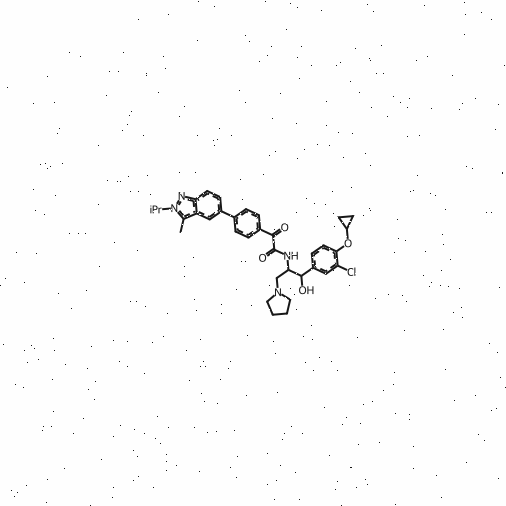 Cc1c2cc(-c3ccc(C(=O)C(=O)NC(CN4CCCC4)C(O)c4ccc(OC5CC5)c(Cl)c4)cc3)ccc2nn1C(C)C